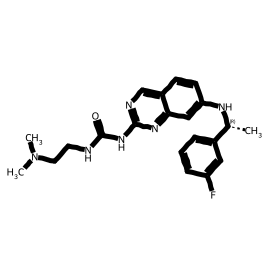 C[C@@H](Nc1ccc2cnc(NC(=O)NCCN(C)C)nc2c1)c1cccc(F)c1